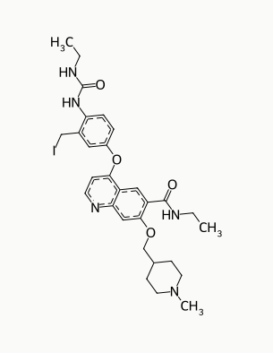 CCNC(=O)Nc1ccc(Oc2ccnc3cc(OCC4CCN(C)CC4)c(C(=O)NCC)cc23)cc1CI